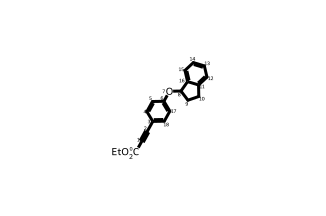 CCOC(=O)C#Cc1ccc(OC2CCc3ccccc32)cc1